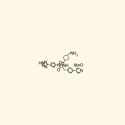 COc1cnccc1-c1ccc(C[C@H](NC(=O)C2CCC(CN)CC2)C(=O)Nc2ccc(-c3nn[nH]n3)cc2)cc1